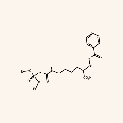 CCOP(=O)(CC(=O)NCCCCC(NCC(=O)c1ccccc1)C(=O)O)OCC